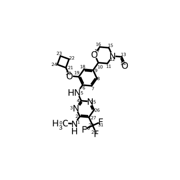 CNc1nc(Nc2ccc(C3CN(C=O)CCO3)cc2OC2CCC2)ncc1C(F)(F)F